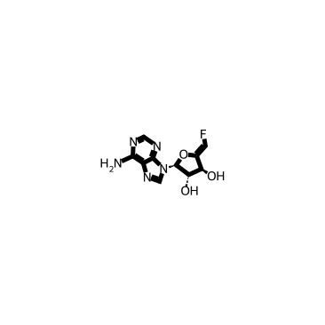 Nc1ncnc2c1ncn2[C@@H]1O/C(=C\F)[C@@H](O)[C@@H]1O